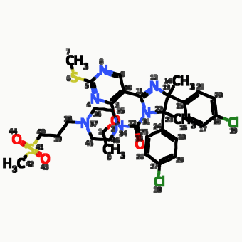 CCOc1nc(SC)ncc1C1=NC(C)(c2ccc(Cl)cc2)C(C)(c2ccc(Cl)cc2)N1C(=O)N1CCN(CCCS(C)(=O)=O)CC1